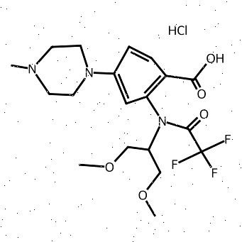 COCC(COC)N(C(=O)C(F)(F)F)c1cc(N2CCN(C)CC2)ccc1C(=O)O.Cl